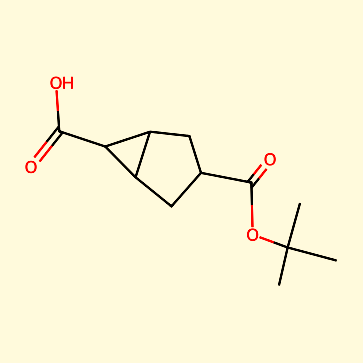 CC(C)(C)OC(=O)C1CC2C(C1)C2C(=O)O